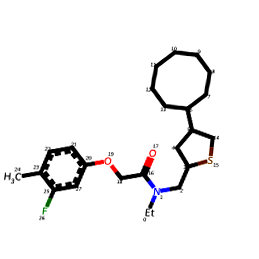 CCN(CC1CC(C2CCCCCCC2)CS1)C(=O)COc1ccc(C)c(F)c1